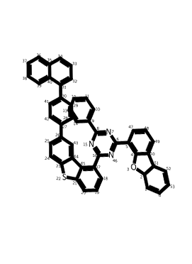 C1=CC2Oc3c(-c4nc(-c5ccccc5)nc(-c5cccc6sc7ccc(-c8ccc(-c9cccc%10ccccc9%10)cc8)cc7c56)n4)cccc3C2C=C1